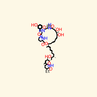 CC[C@H]1C[C@H](C)[C@@]2(NC1=O)O[C@@H](C[C@H](O)[C@@H](C)CC/C=C/C=C(\C)[C@@H]1C/C=C/C=C/[C@H](O)[C@H](C)[C@@H](O)[C@@H](C)C(=O)N[C@@H](C(C)C)C(=O)N[C@@H](Cc3cccc(O)c3)C(=O)N3CCCC(N3)C(=O)O1)[C@H](C)C=C2C